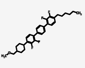 CCCCCCc1ccc(-c2ccc(-c3ccc(C4CCC(COC)CC4)c(F)c3F)cc2)c(F)c1F